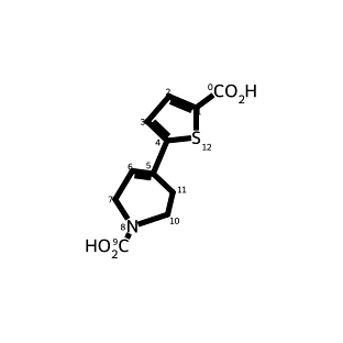 O=C(O)c1ccc(C2=CCN(C(=O)O)CC2)s1